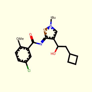 COc1ccc(Cl)cc1C(=O)N=c1sn(C(C)(C)C)cc1C(O)CC1CCC1